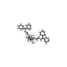 [Cl][Ni]([Cl])([PH]CC=CCC(C1CCCCC1)C1CCCCC1)[PH]CC=CCC(C1CCCCC1)C1CCCCC1